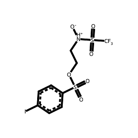 O=S(=O)(OCC[NH+]([O-])S(=O)(=O)C(F)(F)F)c1ccc(I)cc1